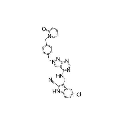 N#Cc1[nH]c2ccc(Cl)cc2c1CNc1ncnc2nn(Cc3ccc(Cn4ccccc4=O)cc3)cc12